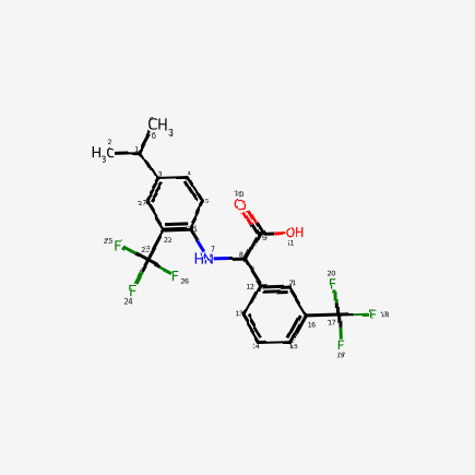 CC(C)c1ccc(NC(C(=O)O)c2cccc(C(F)(F)F)c2)c(C(F)(F)F)c1